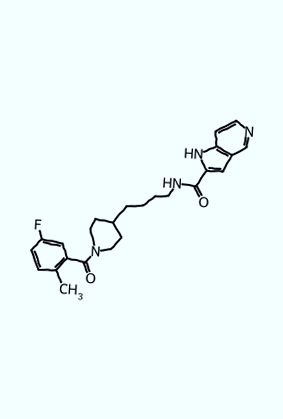 Cc1ccc(F)cc1C(=O)N1CCC(CCCCNC(=O)c2cc3cnccc3[nH]2)CC1